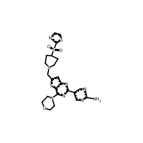 Nc1ncc(-c2nc(N3CCOCC3)c3sc(CN4CCC(S(=O)(=O)c5nccs5)CC4)cc3n2)cn1